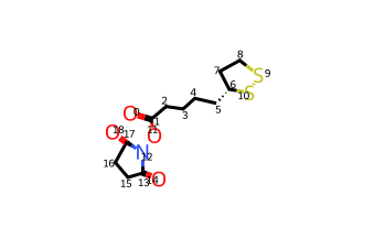 O=C(CCCC[C@@H]1CCSS1)ON1C(=O)CCC1=O